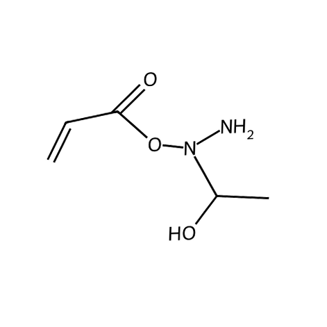 C=CC(=O)ON(N)C(C)O